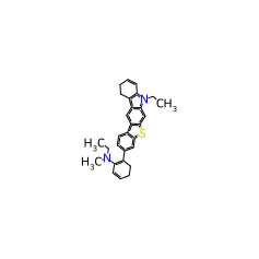 CCN(C)C1=C(c2ccc3c(c2)sc2cc4c(cc23)c2c(n4CC)C=CCC2)CCC=C1